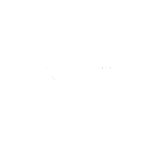 CCCCCCCCCCCCCCCc1nc2cscc2[nH]1